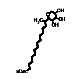 CCCCCCCCCCCCCCCCCCCCCCCC(C)C1OC[C@@H](O)[C@H](O)[C@H]1O